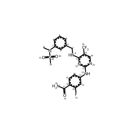 CN(c1cccc(CNc2nc(Nc3ccc(C(N)=O)c(F)c3)ncc2C(F)(F)F)c1)S(C)(=O)=O